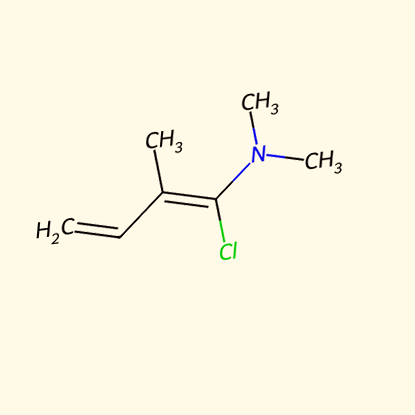 C=C/C(C)=C(\Cl)N(C)C